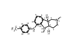 CN1CC[C@@H]2[C@@H](C1)c1cccc(Sc3ccc(C(F)(F)F)cc3)c1N2C